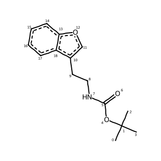 CC(C)(C)OC(=O)NCCc1coc2ccccc12